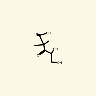 CC(C)(C(=O)O)C(=O)C(O)CO